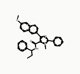 CCC(NC(=O)c1c(-c2ccc3cc(OC)ccc3c2)nc(-c2ccccc2)n1C)c1ccccc1